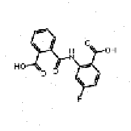 O=C(O)c1ccc(F)cc1NC(=O)c1ccccc1C(=O)O